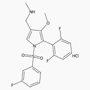 CNCc1cn(S(=O)(=O)c2cccc(F)c2)c(-c2c(F)cccc2F)c1OC.Cl